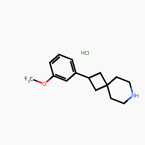 Cl.FC(F)(F)Oc1cccc(C2CC3(CCNCC3)C2)c1